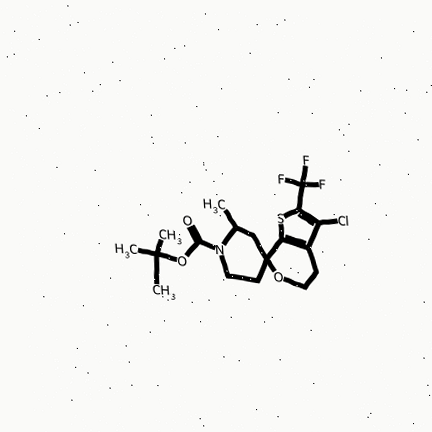 CC1CC2(CCN1C(=O)OC(C)(C)C)OCCc1c2sc(C(F)(F)F)c1Cl